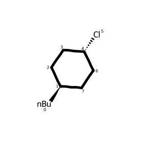 CCCC[C@H]1CC[C@H](Cl)CC1